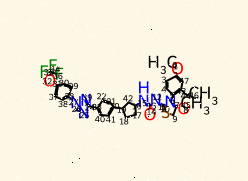 COc1ccc(N2C(=O)CS/C2=N\C(=O)NC2CCC(c3ccc(-c4ncn(-c5ccc(OC(F)(F)F)cc5)n4)cc3)C2)c(C(C)C)c1